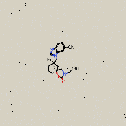 CC[C@]1(Cn2cnc3ccc(C#N)cc32)CCC[C@@]2(CN(CC(C)(C)C)C(=O)O2)C1